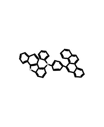 c1ccc(N(c2ccc(-c3cc4ccccc4c4ccc5ccccc5c34)cc2)c2cccc3oc4c5ccccc5ccc4c23)cc1